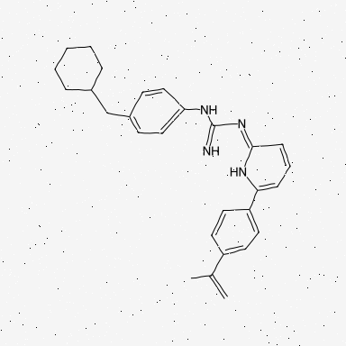 C=C(C)c1ccc(-c2ccc/c(=N/C(=N)Nc3ccc(CC4CCCCC4)cc3)[nH]2)cc1